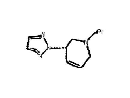 CC(C)N1CC=CC(n2nccn2)C1